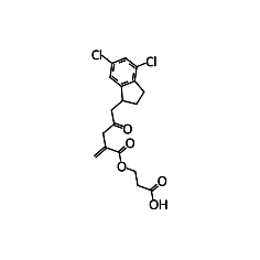 C=C(CC(=O)CC1CCc2c(Cl)cc(Cl)cc21)C(=O)OCCC(=O)O